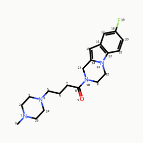 CN1CCN(CCCC(=O)N2CCn3c(cc4cc(F)ccc43)C2)CC1